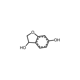 Oc1ccc2c(c1)OCC2O